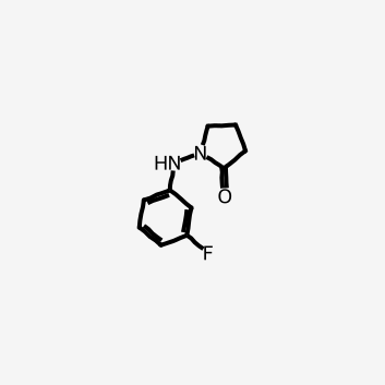 O=C1CCCN1Nc1cccc(F)c1